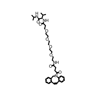 CC(C)NC(=O)[C@@H](NC(=O)CCOCCOCCOCCOCCNC(=O)CCC(=O)N1Cc2ccccc2C#Cc2ccccc21)C(C)C